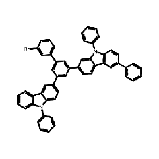 Brc1cccc(-c2cc(-c3ccc4c(c3)c3ccccc3n4-c3ccccc3)cc(-c3ccc4c5cc(-c6ccccc6)ccc5n(-c5ccccc5)c4c3)c2)c1